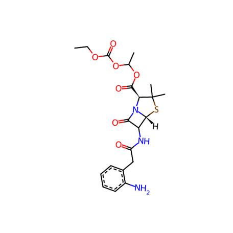 CCOC(=O)OC(C)OC(=O)[C@@H]1N2C(=O)C(NC(=O)Cc3ccccc3N)[C@H]2SC1(C)C